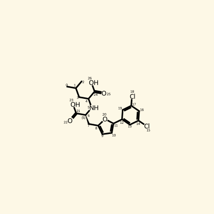 CC(C)CC(N[C@@H](Cc1ccc(-c2cc(Cl)cc(Cl)c2)o1)C(=O)O)C(=O)O